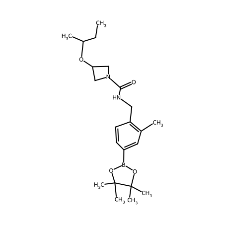 CCC(C)OC1CN(C(=O)NCc2ccc(B3OC(C)(C)C(C)(C)O3)cc2C)C1